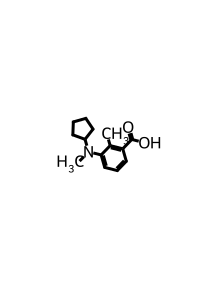 Cc1c(C(=O)O)cccc1N(C)C1CCCC1